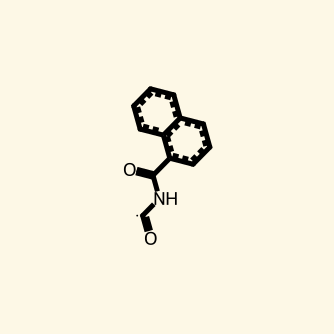 O=[C]NC(=O)c1cccc2ccccc12